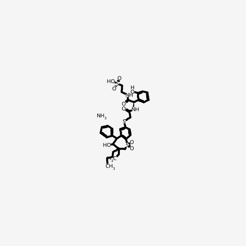 CCCCC1(CC)CS(=O)(=O)c2ccc(SCC(=O)N[C@@H](C(=O)NCCS(=O)(=O)O)c3ccccc3O)cc2C(c2ccccc2)C1O.N